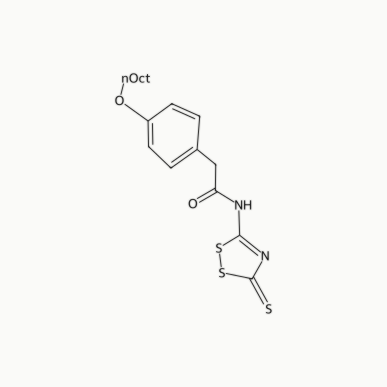 CCCCCCCCOc1ccc(CC(=O)Nc2nc(=S)ss2)cc1